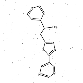 OC(Cc1cnc(-c2cncnc2)s1)c1ccncc1